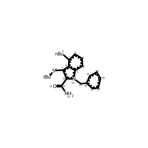 CCCCc1cccc2c1c(SC(C)(C)C)c(C(N)=O)n2Cc1ccccc1